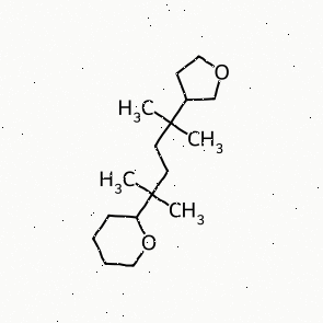 CC(C)(CCC(C)(C)C1CCCCO1)C1CCOC1